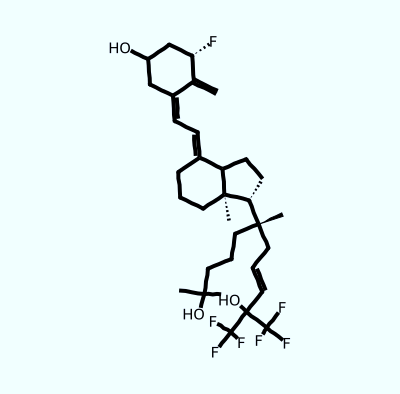 C=C1/C(=C\C=C2/CCC[C@@]3(C)C2CC[C@@H]3[C@](C)(C/C=C/C(O)(C(F)(F)F)C(F)(F)F)CCCC(C)(C)O)CC(O)C[C@@H]1F